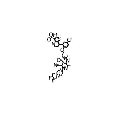 Cc1nc(N2CCN(CC(F)(F)F)CC2)c(C#N)c2c(=O)n(CCOc3ccc(Cl)cc3-c3ccnc4c(C(=O)O)csc34)c(C)nc12